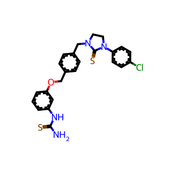 NC(=S)Nc1cccc(OCc2ccc(CN3CCN(c4ccc(Cl)cc4)C3=S)cc2)c1